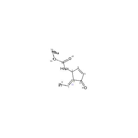 CC(C)/C=C1/C(=O)C=CC1NC(=O)OC(C)(C)C